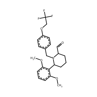 COc1cccc(OC)c1C1CCCC(C=O)N1Cc1ccc(OCC(F)(F)F)cc1